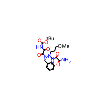 COCCCN(NC(=O)C(N)=O)N(Cc1ccccc1)C(=O)C(=O)NC(=O)OC(C)(C)C